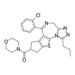 CCCc1nnc2n1-c1sc3c(c1C(c1ccccc1Cl)=NC2)CC(C(=O)N1CCOCC1)C3